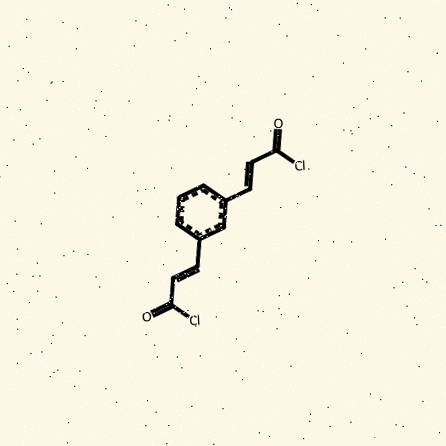 O=C(Cl)/C=C/c1cccc(/C=C/C(=O)Cl)c1